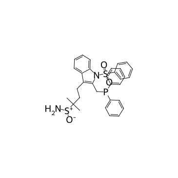 CC(C)(CCc1c(CP(c2ccccc2)c2ccccc2)n(S(=O)(=O)c2ccccc2)c2ccccc12)[S+](N)[O-]